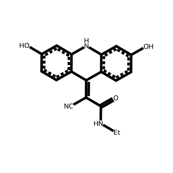 [CH2]CNC(=O)C(C#N)=C1c2ccc(O)cc2Nc2cc(O)ccc21